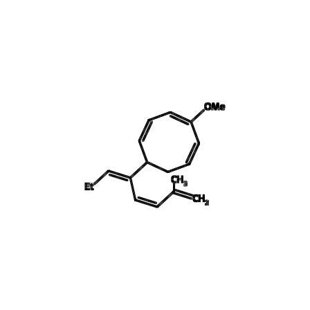 C=C(C)/C=C\C(=C/CC)C1\C=C/C=C(OC)\C=C/C1